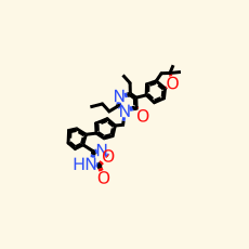 CCCc1nc(CC)c(-c2ccc3c(c2)CC(C)(C)O3)c(=O)n1Cc1ccc(-c2ccccc2-c2noc(=O)[nH]2)cc1